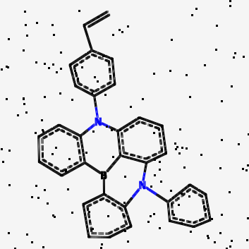 C=Cc1ccc(N2c3ccccc3B3c4ccccc4N(c4ccccc4)c4cccc2c43)cc1